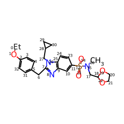 CCOc1ccc(Cc2nc3cc(S(=O)(=O)N(C)CC4OCCO4)ccc3n2CC2CC2)cc1